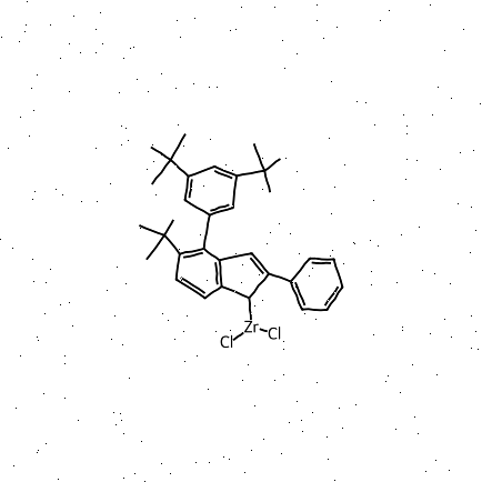 CC(C)(C)c1cc(-c2c(C(C)(C)C)ccc3c2C=C(c2ccccc2)[CH]3[Zr]([Cl])[Cl])cc(C(C)(C)C)c1